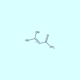 CC(=O)/C=C(\O)S